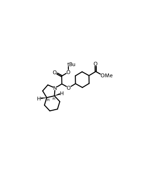 COC(=O)C1CCC(OC(C(=O)OC(C)(C)C)N2CC[C@H]3CCCC[C@H]32)CC1